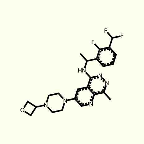 Cc1nnc(NC(C)c2cccc(C(F)F)c2F)c2cc(N3CCN(C4COC4)CC3)cnc12